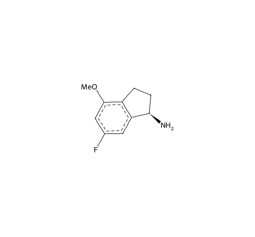 COc1cc(F)cc2c1CC[C@H]2N